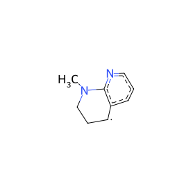 CN1CC[CH]c2cccnc21